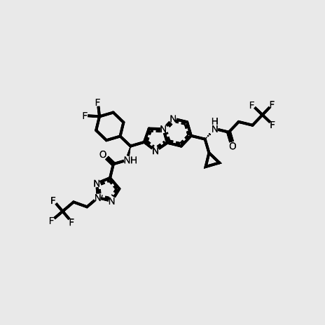 O=C(CCC(F)(F)F)N[C@@H](c1cnn2cc([C@@H](NC(=O)c3cnn(CCC(F)(F)F)n3)C3CCC(F)(F)CC3)nc2c1)C1CC1